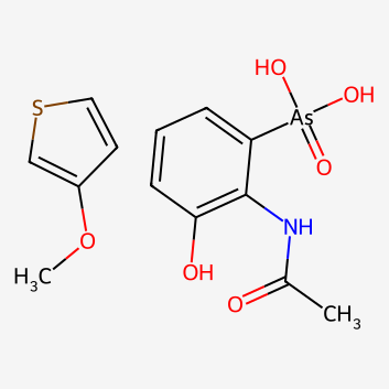 CC(=O)Nc1c(O)cccc1[As](=O)(O)O.COc1ccsc1